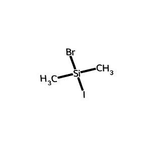 C[Si](C)(Br)I